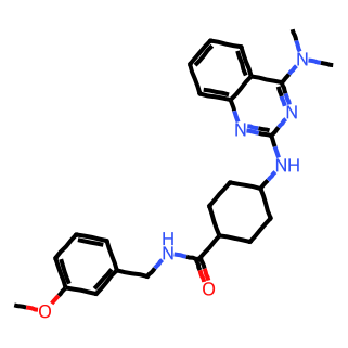 COc1cccc(CNC(=O)C2CCC(Nc3nc(N(C)C)c4ccccc4n3)CC2)c1